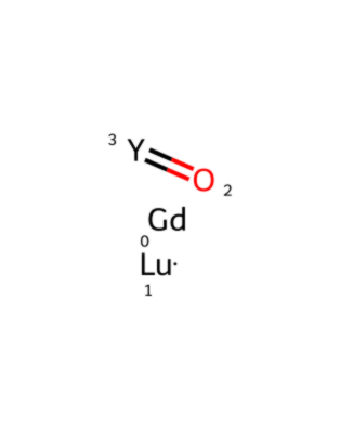 [Gd].[Lu].[O]=[Y]